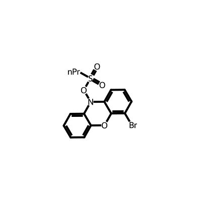 CCCS(=O)(=O)ON1c2ccccc2Oc2c(Br)cccc21